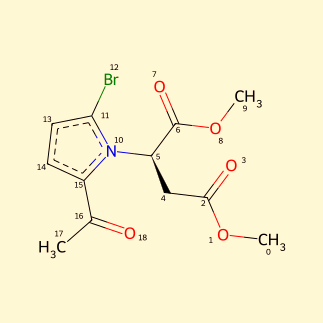 COC(=O)C[C@H](C(=O)OC)n1c(Br)ccc1C(C)=O